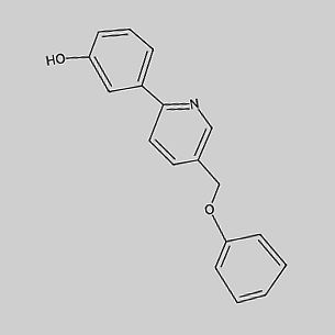 Oc1cccc(-c2ccc(COc3ccccc3)cn2)c1